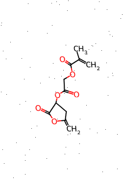 C=C1CC(OC(=O)COC(=O)C(=C)C)C(=O)O1